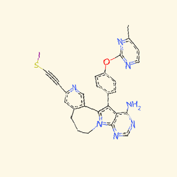 Cc1ccnc(Oc2ccc(-c3c4n(c5ncnc(N)c35)CCCc3cc(C#CSI)ncc3-4)cc2)n1